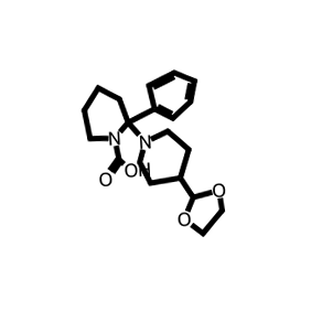 O=C(O)N1CCCCC1(c1ccccc1)N1CCC(C2OCCO2)CC1